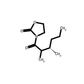 CCC[C@H](C)C(C)C(=O)N1CCOC1=O